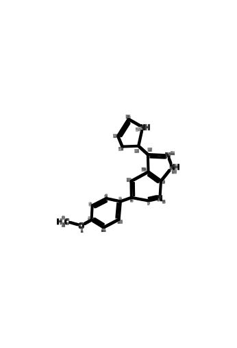 COc1ccc(-c2cnc3[nH]nc(C4CC=CN4)c3c2)cc1